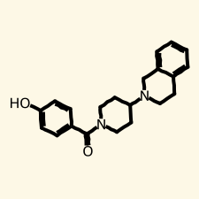 O=C(c1ccc(O)cc1)N1CCC(N2CCc3ccccc3C2)CC1